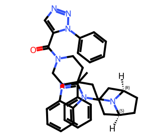 Cc1nc2ccccc2n1C1C[C@H]2CC[C@@H](C1)N2CCC1(c2ccccc2)CCN(C(=O)c2cnnn2-c2ccccc2)CC1